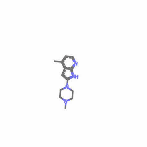 Cc1ccnc2[nH]c(N3CCN(C)CC3)cc12